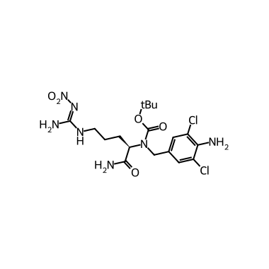 CC(C)(C)OC(=O)N(Cc1cc(Cl)c(N)c(Cl)c1)[C@H](CCCNC(N)=N[N+](=O)[O-])C(N)=O